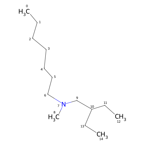 CCCCCCCN(C)CC(CC)CC